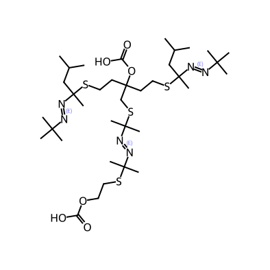 CC(C)CC(C)(/N=N/C(C)(C)C)SCCC(CCSC(C)(CC(C)C)/N=N/C(C)(C)C)(CSC(C)(C)/N=N/C(C)(C)SCCOC(=O)O)OC(=O)O